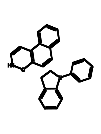 C1=Cc2c(ccc3ccccc23)ON1.c1ccc(N2CCc3ccccc32)cc1